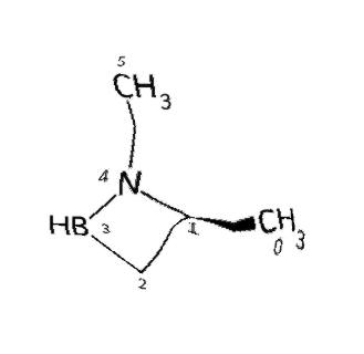 C[C@H]1CBN1C